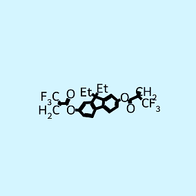 C=C(C(=O)Oc1ccc2c(c1)C(CC)(CC)c1cc(OC(=O)C(=C)C(F)(F)F)ccc1-2)C(F)(F)F